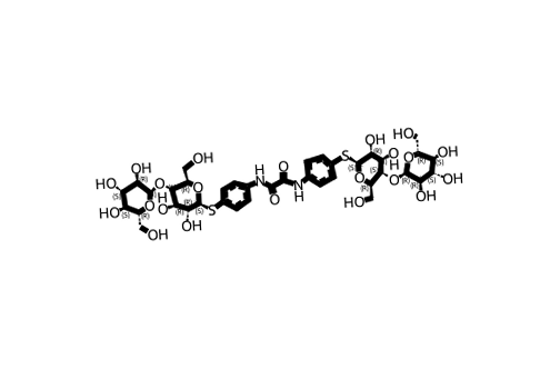 O=C(Nc1ccc(S[C@@H]2O[C@H](CO)[C@@H](O[C@H]3O[C@H](CO)[C@@H](O)[C@H](O)[C@H]3O)[C@H](O)[C@H]2O)cc1)C(=O)Nc1ccc(S[C@@H]2O[C@H](CO)[C@@H](O[C@H]3O[C@H](CO)[C@@H](O)[C@H](O)[C@H]3O)[C@H](O)[C@H]2O)cc1